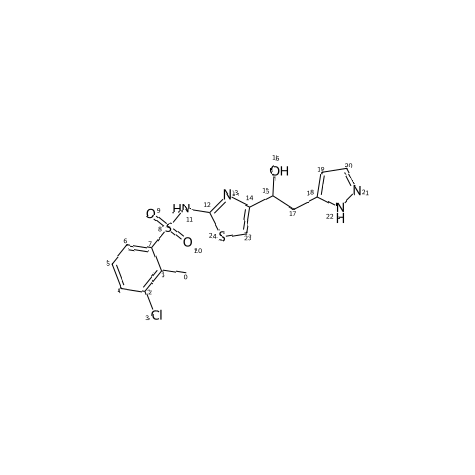 Cc1c(Cl)cccc1S(=O)(=O)Nc1nc(C(O)Cc2ccn[nH]2)cs1